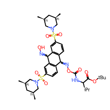 CC(C)C(NC(=O)ON=C1c2ccc(S(=O)(=O)N3C[C@H](C)C[C@H](C)C3)cc2C(=NO)c2cc(S(=O)(=O)N3C[C@H](C)C[C@H](C)C3)ccc21)C(=O)OC(C)(C)C